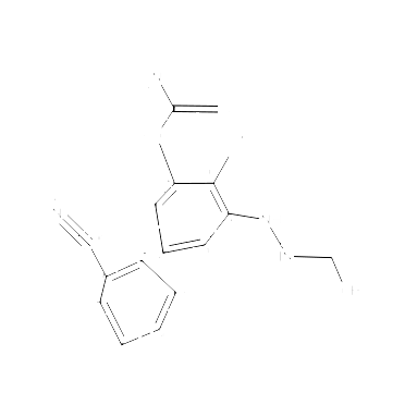 CCNNc1cccc(OC(N)=O)c1F.N#Cc1ccccc1